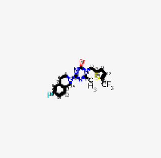 Cc1nc(N2CCc3cc(F)ccc3C2)nc(=O)n1Cc1ccc(C(F)(F)F)s1